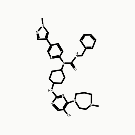 CN1CCCN(c2nc(NC3CCC(N(C(=O)NCc4ccccc4)c4ccc(-c5cnn(C)c5)cn4)CC3)ncc2C#N)CC1